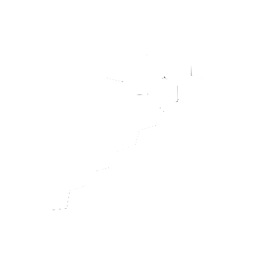 CCCCCCCCCCN1C(=O)/C(=C(/C)O)C(=O)C1CC(C)C